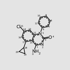 Nc1nc(=O)n(-c2ccccc2)c2cc(Cl)cc(C3CC3)c12